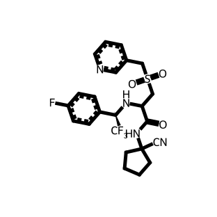 N#CC1(NC(=O)C(CS(=O)(=O)Cc2cccnc2)N[C@H](c2ccc(F)cc2)C(F)(F)F)CCCC1